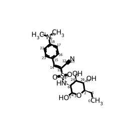 CC[C@H]1OC(O)[C@H](NS(=O)(=O)/C(C#N)=C/c2ccc(N(C)C)cc2)[C@@H](O)[C@@H]1O